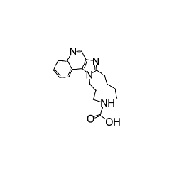 CCCCc1nc2cnc3ccccc3c2n1CCCNC(=O)O